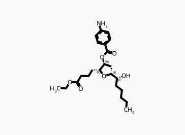 CCCCC[C@@H](O)[C@H]1C[C@H](OC(=O)c2ccc(N)cc2)[C@@H](CCCC(=O)OCC)O1